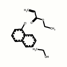 C=CC(=O)OCC.CCO.Clc1cccc2ccccc12